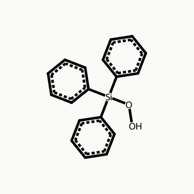 OO[Si](c1ccccc1)(c1ccccc1)c1ccccc1